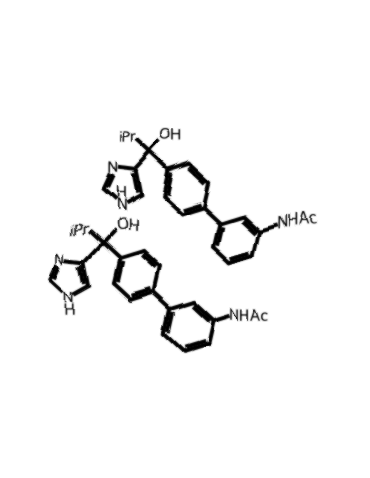 CC(=O)Nc1cccc(-c2ccc(C(O)(c3c[nH]cn3)C(C)C)cc2)c1.CC(=O)Nc1cccc(-c2ccc(C(O)(c3c[nH]cn3)C(C)C)cc2)c1